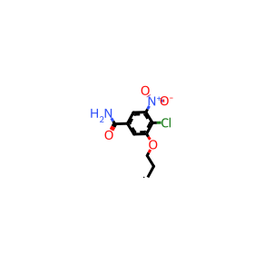 [CH2]CCOc1cc(C(N)=O)cc([N+](=O)[O-])c1Cl